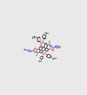 CC(C)CNC(=O)CN1C(=O)c2cc(Oc3ccc(C(C)(C)C)cc3)c3c4c(Oc5ccc(C(C)(C)C)cc5)cc5c6c(cc(Oc7ccc(C(C)(C)C)cc7)c(c7c(Oc8ccc(C(C)(C)C)cc8)cc(c2c37)C1=O)c64)C(=O)N(CC(=O)NCC(C)C)C5=O